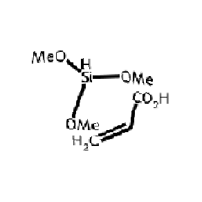 C=CC(=O)O.CO[SiH](OC)OC